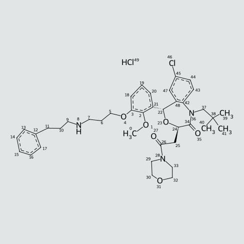 COc1c(OCCCNCCCc2ccccc2)cccc1[C@H]1O[C@H](CC(=O)N2CCOCC2)C(=O)N(CC(C)(C)C)c2ccc(Cl)cc21.Cl